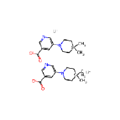 C[Si]1(C)CCN(c2cncc(C(=O)[O-])c2)CC1.C[Si]1(C)CCN(c2cncc(C(=O)[O-])c2)CC1.[Li+].[Li+]